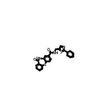 O=C(NCc1cnc(-c2ccccc2)s1)c1ccc2c(c1)NC(=O)c1ccccc1S2